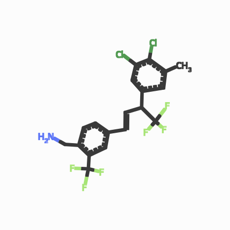 Cc1cc(C(/C=C/c2ccc(CN)c(C(F)(F)F)c2)C(F)(F)F)cc(Cl)c1Cl